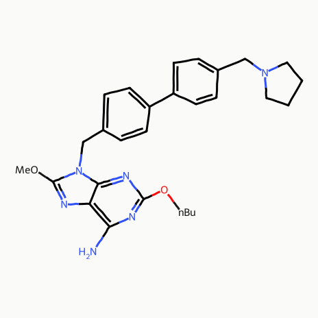 CCCCOc1nc(N)c2nc(OC)n(Cc3ccc(-c4ccc(CN5CCCC5)cc4)cc3)c2n1